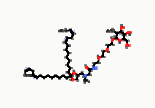 CCCCC/C=C\C/C=C\CCCCCCCCC1(CCCCCCCC/C=C\C/C=C\CCCCC)OC[C@H](CN(C)CC(=O)NCCOCCOCCO[C@@H]2OC(CO)[C@H](O)[C@H](O)C2NC(C)=O)O1